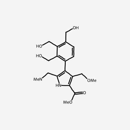 CNCc1[nH]c(C(=O)OC)c(COC)c1-c1ccc(CO)c(CO)c1CO